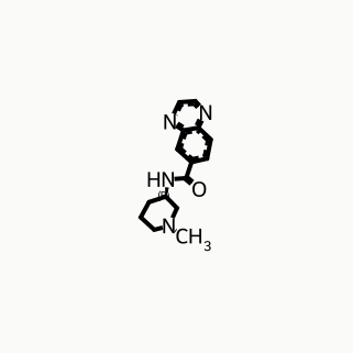 CN1CCC[C@@H](NC(=O)c2ccc3nccnc3c2)C1